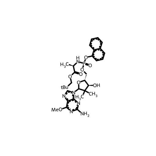 COc1nc(N)nc2c1ncn2C1O[C@H](COP(=O)(N[C@H](C)C(=O)OCC(C)(C)C)Oc2cccc3ccccc23)[C@@H](O)C1(C)C